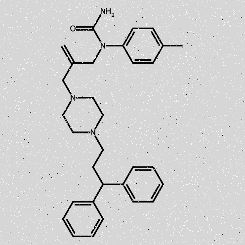 C=C(CN1CCN(CCC(c2ccccc2)c2ccccc2)CC1)CN(C(N)=O)c1ccc(C)cc1